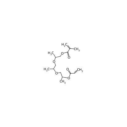 C=CC(=O)OC(C)COC(C)COC(C)COC(=O)C(=C)C